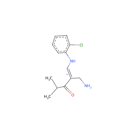 CC(C)C(=O)/C(=C/Nc1ccccc1Cl)CN